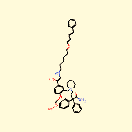 NC(=O)C(CC[N+]1(Cc2cc(C(O)CNCCCCCCOCCCCc3ccccc3)ccc2OCOO)CCCCCC1)(c1ccccc1)c1ccccc1